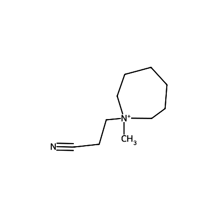 C[N+]1(CCC#N)CCCCCC1